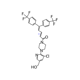 O=C(/C=C/C=C(c1ccc(C(F)(F)F)cc1)c1ccc(C(F)(F)F)cc1)N1CCN(c2ncc(CO)cc2Cl)CC1